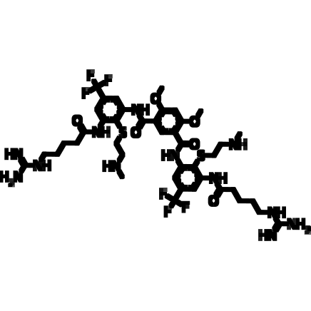 CNCCSc1c(NC(=O)CCCCNC(=N)N)cc(C(F)(F)F)cc1NC(=O)c1cc(C(=O)Nc2cc(C(F)(F)F)cc(NC(=O)CCCCNC(=N)N)c2SCCNC)c(OC)cc1OC